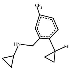 CCC1(c2ccc(C(F)(F)F)cc2CNC2CC2)CC1